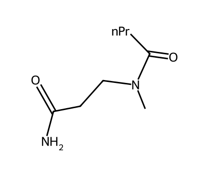 CCCC(=O)N(C)CCC(N)=O